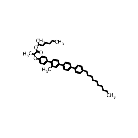 CCCCCCCCCCc1ccc(-c2ccc(-c3ccc(-c4ccc(OC(C)C(=O)OC(C)CCCCC)cc4)c(C)c3)cc2)cc1